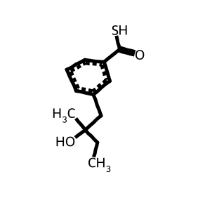 CCC(C)(O)Cc1cccc(C(=O)S)c1